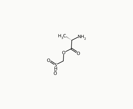 C[C@H](N)C(=O)OC[SH](=O)=O